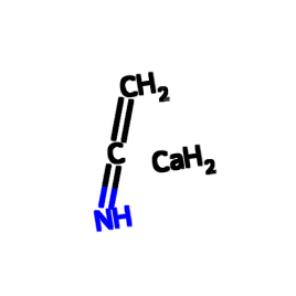 C=C=N.[CaH2]